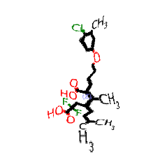 C/C(=C(\CCCCOc1ccc(Cl)c(C)c1)C(=O)O)C(CCC(C)C)CC(F)(F)C(=O)O